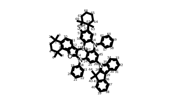 CC1(C)CCC(C)(C)c2c1ccc1c3c(oc21)N(c1ccccc1)c1cc(-n2c4c(c5ccccc52)-c2ccccc2C4(C)C)cc2c1B3c1cc3c(cc1N2c1ccccc1)C1(C)CCCCC1(C)S3